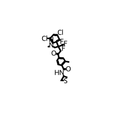 CNCC(CC(=O)c1ccc(C(=O)NC2CSC2)c(C)c1)(c1cc(Cl)cc(Cl)c1)C(F)(F)F